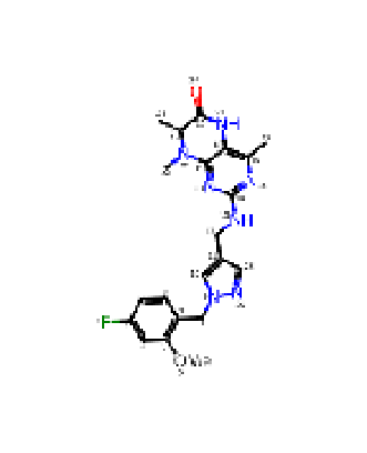 COc1cc(F)ccc1Cn1cc(CNc2nc(C)c3c(n2)N(C)[C@@H](C)C(=O)N3)cn1